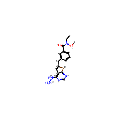 CCN(OC)C(=O)c1cccc(Cc2cc3c(NN)ncnc3s2)c1